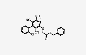 N#Cc1c(N)nc(SCC(=O)OCc2ccccc2)c(C#N)c1-c1ccccc1Cl